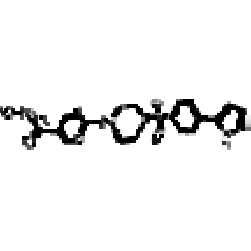 O=C(NO)c1cnc(N2CCN(S(=O)(=O)c3ccc(-c4ccc[nH]4)cc3)CC2)nc1